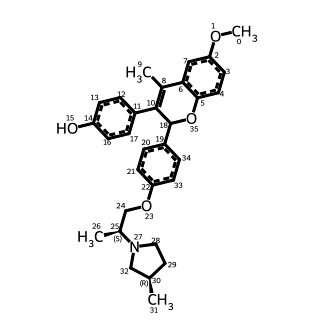 COc1ccc2c(c1)C(C)=C(c1ccc(O)cc1)C(c1ccc(OC[C@H](C)N3CC[C@@H](C)C3)cc1)O2